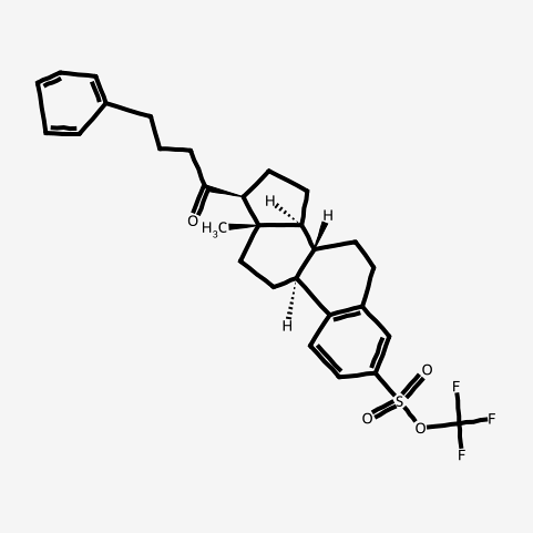 C[C@]12CC[C@@H]3c4ccc(S(=O)(=O)OC(F)(F)F)cc4CC[C@H]3[C@@H]1CC[C@@H]2C(=O)CCCc1ccccc1